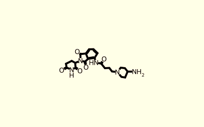 NC1CCN(CCCC(=O)Nc2cccc3c2C(=O)N(C2CCC(=O)NC2=O)C3=O)CC1